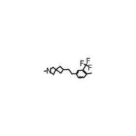 Cc1ccc(CCC2CC3(C2)CN(C)C3)cc1C(F)(F)F